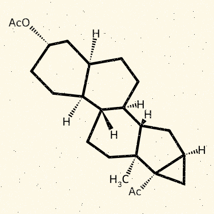 CC(=O)O[C@H]1CC[C@H]2[C@H](CC[C@@H]3[C@@H]2CC[C@@]2(C)[C@H]3C[C@H]3C[C@]32C(C)=O)C1